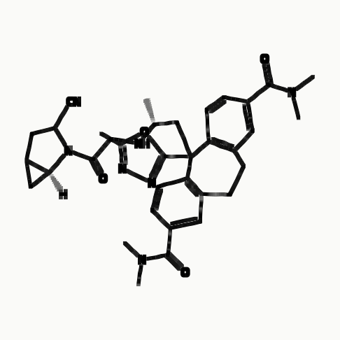 Cc1nnc(C2(C[C@@H](C)NCC(=O)N3C(C#N)CC4C[C@@H]43)c3ccc(C(=O)N(C)C)cc3CCc3cc(C(=O)N(C)C)ccc32)o1